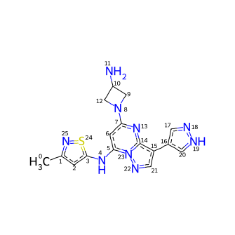 Cc1cc(Nc2cc(N3CC(N)C3)nc3c(-c4cn[nH]c4)cnn23)sn1